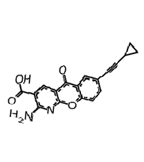 Nc1nc2oc3ccc(C#CC4CC4)cc3c(=O)c2cc1C(=O)O